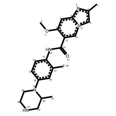 COc1cc2nc(C)cn2cc1C(=O)Nc1ccc(N2CCNCC2C)cc1F